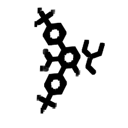 CCN(CC)CC.O=C(O)c1c(-c2ccc(C(F)(F)F)cc2)ccc(F)c1-c1ccc(C(F)(F)F)cc1